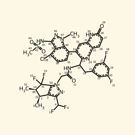 C[C@@H]1c2c(C(F)F)nn(CC(=O)NC(Cc3cc(F)cc(F)c3)c3nc4ccc(=O)[nH]c4cc3-c3ccc(Cl)c4c(NS(C)(=O)=O)nn(C)c34)c2C(F)(F)[C@@H]1C